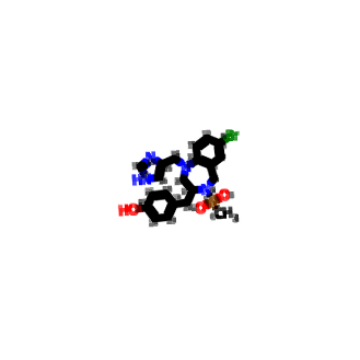 CS(=O)(=O)N1Cc2cc(Br)ccc2N(Cc2c[nH]cn2)CC1Cc1ccc(O)cc1